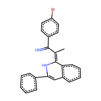 C/C(C(=N)c1ccc(Br)cc1)=C1/NC(c2ccccc2)=Cc2ccccc21